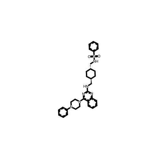 O=S(=O)(NC[C@H]1CC[C@H](CNc2nc(N3CCN(c4ccccc4)CC3)c3ccccc3n2)CC1)c1ccccc1